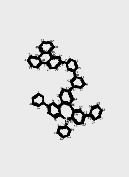 C1=CCC(c2ccc3c(c2)-c2ccc(-c4cccc(-c5cccc(-c6ccc7c8ccccc8c8ccccc8c7c6)c5)c4)cc2-c2cc(-c4ccccc4)ccc2N3c2ccccc2)C=C1